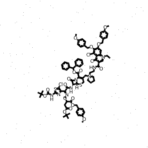 CCn1cc(C(=O)NCC[N+]2(CC3=C(C(=O)OC(c4ccccc4)c4ccccc4)N4C(=O)[C@@H](NC(=O)C(=NOC(CC(=O)OC(C)(C)C)C(=O)OCc5ccc(OC)cc5)c5nc(NC(=O)OC(C)(C)C)sc5Cl)[C@H]4SC3)CCCC2)c(=O)c2c(Cl)c(OCc3ccc(OC)cc3)c(OCc3ccc(OC)cc3)cc21